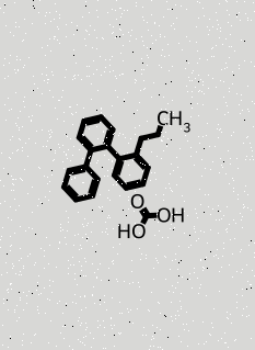 CCCc1ccccc1-c1ccccc1-c1ccccc1.O=C(O)O